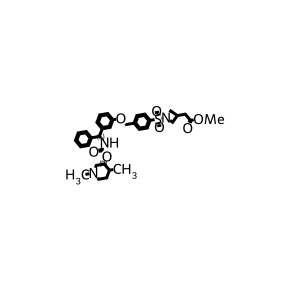 COC(=O)CC1CN(S(=O)(=O)c2ccc(COc3cccc([C@@H](NC(=O)O[C@H]4CN(C)CCC4C)c4ccccc4)c3)cc2)C1